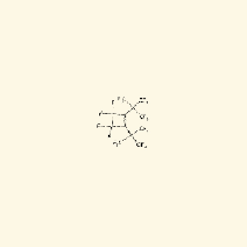 FC(F)(F)C(C1=C(C(C(F)(F)F)(C(F)(F)F)C(F)(F)F)C(F)(F)C1(F)F)(C(F)(F)F)C(F)(F)F